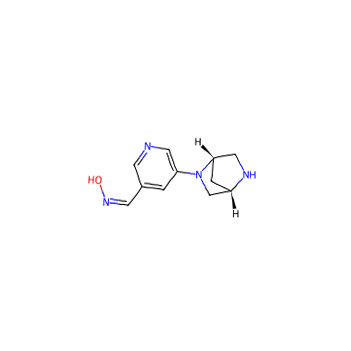 O/N=C\c1cncc(N2C[C@@H]3C[C@H]2CN3)c1